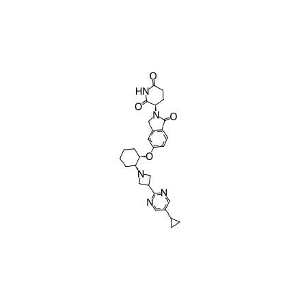 O=C1CC[C@@H](N2Cc3cc(O[C@@H]4CCCC[C@@H]4N4CC(c5ncc(C6CC6)cn5)C4)ccc3C2=O)C(=O)N1